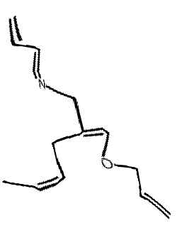 C=C/C=N/C/C(=C/OCC=C)C/C=C\C